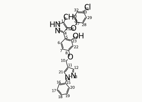 Cc1[nH]nc(-c2ccc(OCc3cnn(-c4ccccc4)c3)cc2O)c1Oc1ccc(Cl)cc1